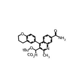 Cc1nc2cc(C(N)=O)ccc2c(-c2ccc3c(c2)CCCO3)c1C(OC(C)(C)C)C(=O)O